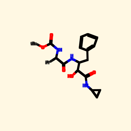 CC(C)C(NC(=O)OC(C)(C)C)C(=O)NC(Cc1ccccc1)C(O)C(=O)NC1CC1